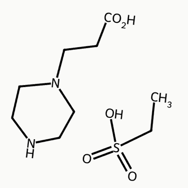 CCS(=O)(=O)O.O=C(O)CCN1CCNCC1